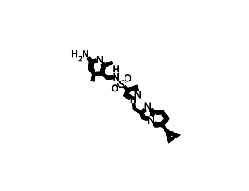 Cc1cc(N)nc(C)c1CNS(=O)(=O)c1cnn(Cc2cn3cc(C4CC4)ccc3n2)c1